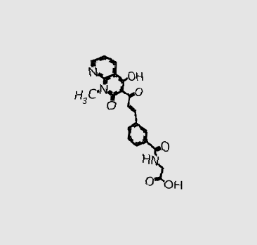 Cn1c(=O)c(C(=O)C=Cc2cccc(C(=O)NCC(=O)O)c2)c(O)c2cccnc21